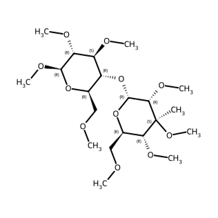 COC[C@H]1O[C@@H](OC)[C@H](OC)[C@@H](OC)[C@@H]1O[C@H]1O[C@H](COC)[C@@H](OC)[C@](C)(OC)[C@H]1OC